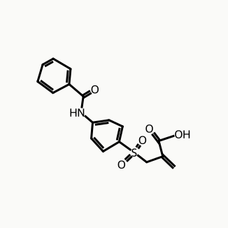 C=C(CS(=O)(=O)c1ccc(NC(=O)c2ccccc2)cc1)C(=O)O